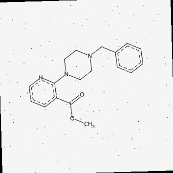 COC(=O)c1cccnc1N1CCN(Cc2ccccc2)CC1